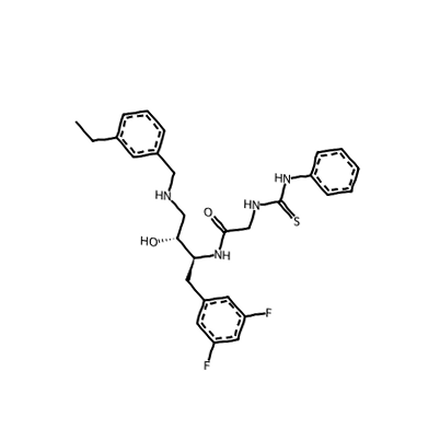 CCc1cccc(CNC[C@@H](O)[C@H](Cc2cc(F)cc(F)c2)NC(=O)CNC(=S)Nc2ccccc2)c1